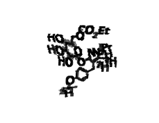 [2H]C(C)(C)Oc1ccc(Cc2c(O[C@@H]3O[C@H](COC(=O)OCC)[C@@H](O)[C@H](O)[C@H]3O)nn(C(C)C)c2C([2H])([2H])[2H])cc1